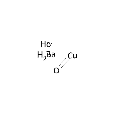 [BaH2].[Ho].[O]=[Cu]